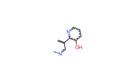 C=C(/C=N\C)c1ncccc1O